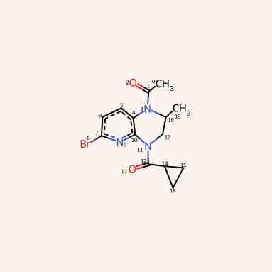 CC(=O)N1c2ccc(Br)nc2N(C(=O)C2CC2)CC1C